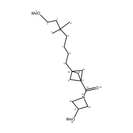 COCCC(C)(C)CCCCC12CC(C(=O)N3CC(OC)C3)(C1)C2